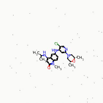 CC(C)Nc1cc(=O)n(C)c2ccc(Nc3cc(N4C[C@@H](C)O[C@@H](C)C4)ncc3Cl)cc12